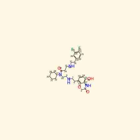 O=C1COc2c(CCNCCN(C(=O)CCNCCc3ccc(F)c(F)c3)C3CCCCC3)ccc(O)c2N1